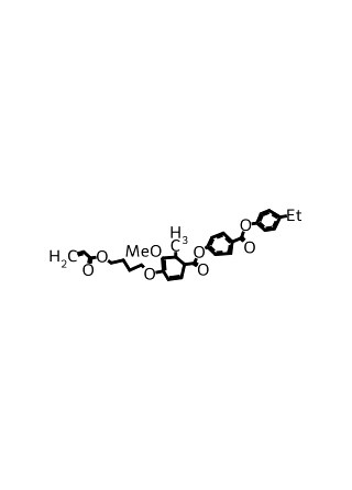 C=CC(=O)OCCCCOC1=C(OC)C(C)C(C(=O)Oc2ccc(C(=O)Oc3ccc(CC)cc3)cc2)C=C1